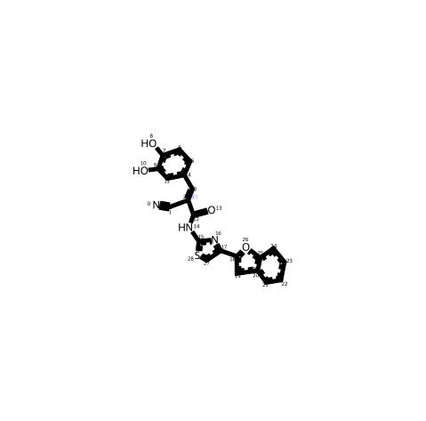 N#C/C(=C\c1ccc(O)c(O)c1)C(=O)Nc1nc(-c2cc3ccccc3o2)cs1